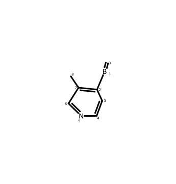 C=Bc1ccncc1C